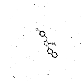 NC1C(Cc2ccc(Cl)cc2)CCN1c1ccc2ccccc2c1